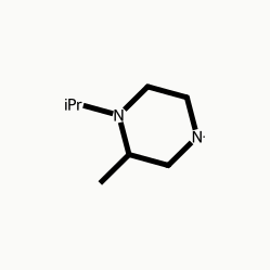 CC(C)N1CC[N]CC1C